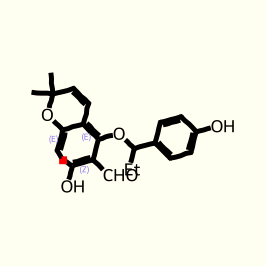 C/C=C1/OC(C)(C)C=C/C1=C(OC(CC)c1ccc(O)cc1)/C(C=O)=C(\C)O